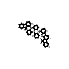 CC1(C)c2ccccc2-c2cccc(N3c4ccccc4B4c5ccccc5N(c5cccc6c5oc5c7c(ccc56)-c5ccccc5C7(C)C)c5cccc3c54)c21